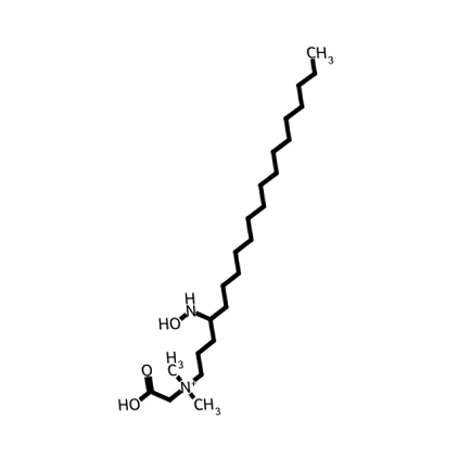 CCCCCCCCCCCCCCCCC(CCC[N+](C)(C)CC(=O)O)NO